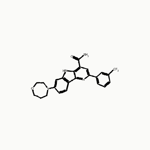 NC(=O)c1cc(-c2cccc(C(F)(F)F)c2)nc2c1[nH]c1cc(N3CCCOCC3)ccc12